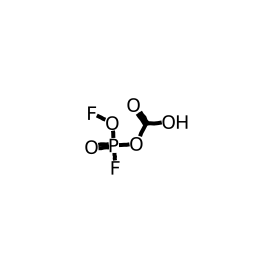 O=C(O)OP(=O)(F)OF